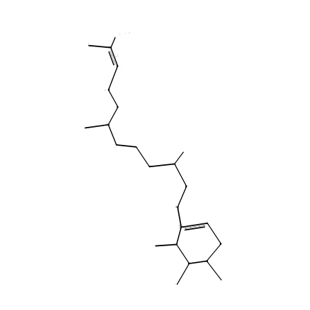 CCCCC/C(C)=C/CCC(C)CCCC(C)CCC1=CCC(C)C(C)C1O